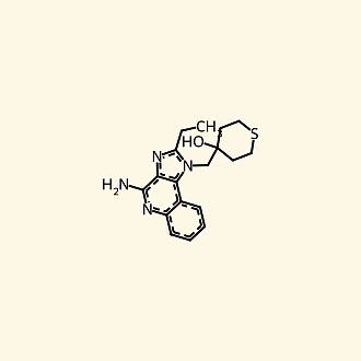 CCc1nc2c(N)nc3ccccc3c2n1CC1(O)CCSCC1